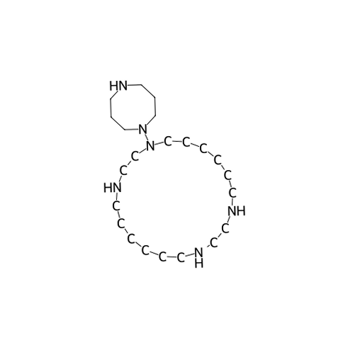 C1CCCNCCN(N2CCCNCCC2)CCCCCCNCCNCC1